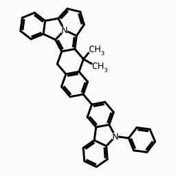 CC1(C)c2cc(-c3ccc4c(c3)c3ccccc3n4-c3ccccc3)ccc2Cc2c1c1cccc3c4ccccc4c2n13